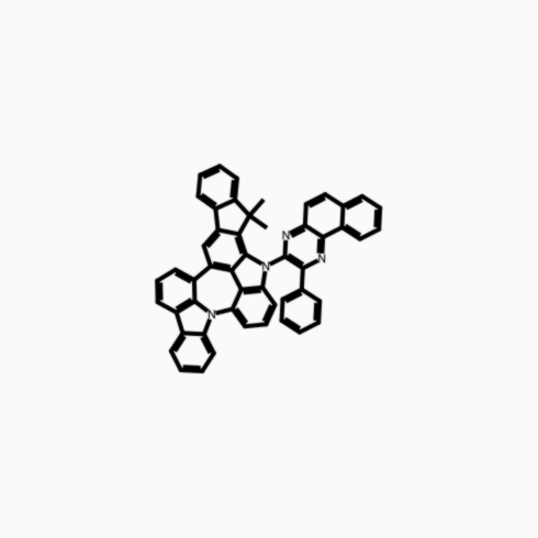 CC1(C)c2ccccc2-c2cc3c4cccc5c6ccccc6n(c6cccc7c6c3c(c21)n7-c1nc2ccc3ccccc3c2nc1-c1ccccc1)c45